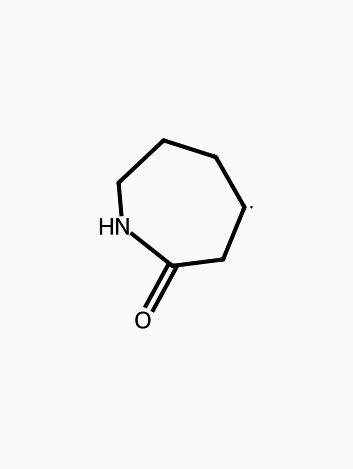 O=C1C[CH]CCCN1